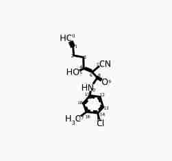 C#CCCC(O)=C(C#N)C(=O)Nc1ccc(Cl)c(C)c1